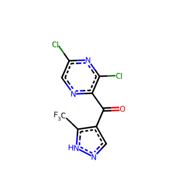 O=C(c1cn[nH]c1C(F)(F)F)c1ncc(Cl)nc1Cl